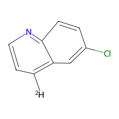 [2H]c1ccnc2ccc(Cl)cc12